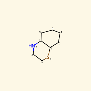 C1CCC2SCCNC2C1